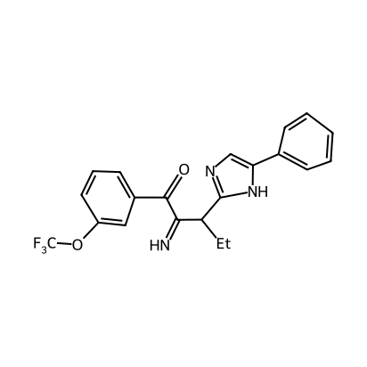 CCC(C(=N)C(=O)c1cccc(OC(F)(F)F)c1)c1ncc(-c2ccccc2)[nH]1